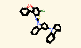 Clc1cc2oc3ccccc3c2c2nc(-n3c4ccccc4c4cc(-n5c6ccccc6c6ccccc65)ccc43)sc12